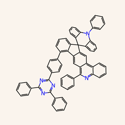 c1ccc(-c2nc(-c3ccccc3)nc(-c3ccc(-c4cccc5c4-c4cc6c(-c7ccccc7)nc7ccccc7c6cc4C54c5ccccc5N(c5ccccc5)c5ccccc54)cc3)n2)cc1